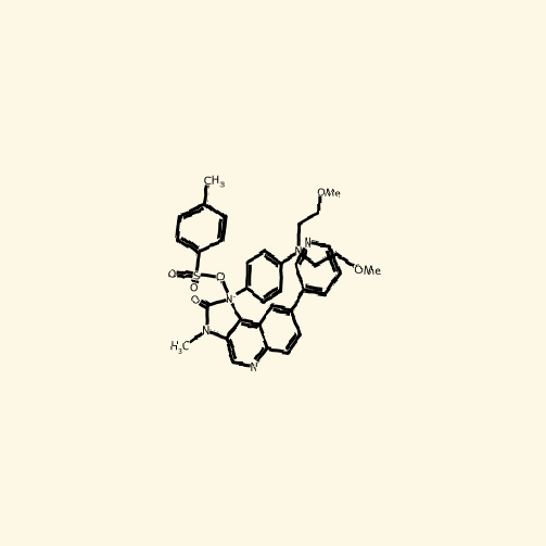 COCCN(CCOC)c1ccc([N+]2(OS(=O)(=O)c3ccc(C)cc3)C(=O)N(C)c3cnc4ccc(-c5cccnc5)cc4c32)cc1